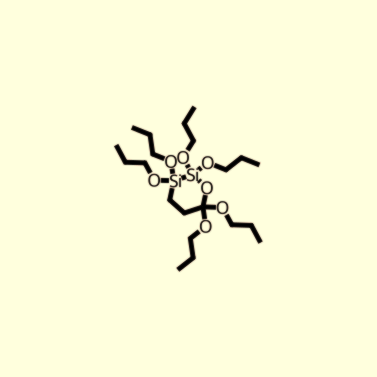 CCCOC1(OCCC)CC[Si](OCCC)(OCCC)[Si](OCCC)(OCCC)O1